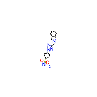 NS(=O)(=O)c1ccc(-n2cnc(CN3Cc4ccccc4C3)n2)cc1